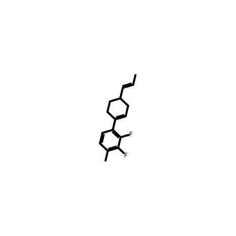 C/C=C/C1CC=C(c2ccc(C)c(F)c2F)CC1